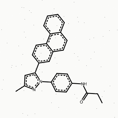 CCC(=O)Nc1ccc(-n2nc(C)cc2-c2ccc3c(ccc4ccccc43)c2)cc1